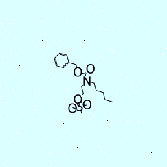 CCCCCN(CCOS(C)(=O)=O)C(=O)OCc1ccccc1